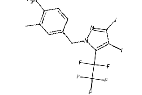 Cc1cc(Cn2nc(I)c(I)c2C(F)(F)C(F)(F)F)ccc1N